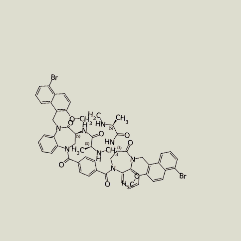 CN[C@@H](C)C(=O)N[C@H]1CN(C(=O)c2ccc(C(=O)N3C[C@H](NC(=O)[C@H](C)NC)C(=O)N(Cc4c(OC)ccc5c(Br)cccc45)c4ccccc43)cc2)c2ccccc2N(Cc2c(OC)ccc3c(Br)cccc23)C1=O